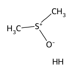 C[S+](C)[O-].[HH]